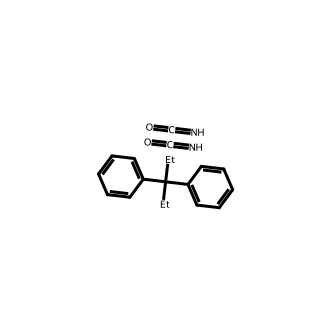 CCC(CC)(c1ccccc1)c1ccccc1.N=C=O.N=C=O